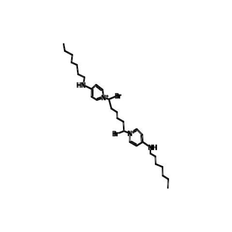 CCCCCCCNc1cc[n+](C(Br)CCCCC(Br)[n+]2ccc(NCCCCCCC)cc2)cc1